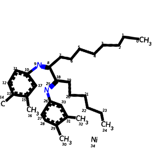 CCCCCCCCC(=Nc1ccc(C)c(C)c1)C(CCCCCC)=Nc1ccc(C)c(C)c1.[Ni]